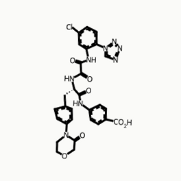 O=C(Nc1cc(Cl)ccc1-n1cnnn1)C(=O)N[C@@H](Cc1ccc(N2CCOCC2=O)cc1)C(=O)Nc1ccc(C(=O)O)cc1